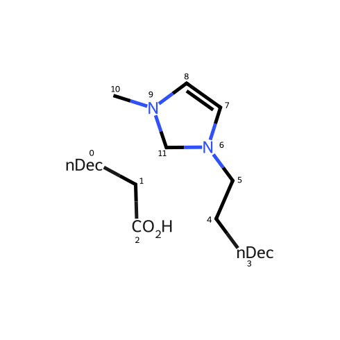 CCCCCCCCCCCC(=O)O.CCCCCCCCCCCCN1C=CN(C)C1